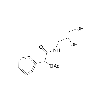 CC(=O)OC(C(=O)NCC(O)CO)c1ccccc1